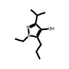 CCCc1c(O)c(C(C)C)nn1CC